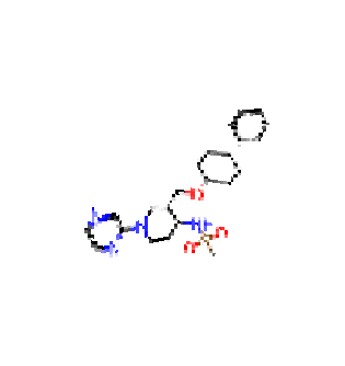 CS(=O)(=O)N[C@H]1CCN(c2cnccn2)C[C@H]1CO[C@H]1CC[C@@H](c2ccccc2)CC1